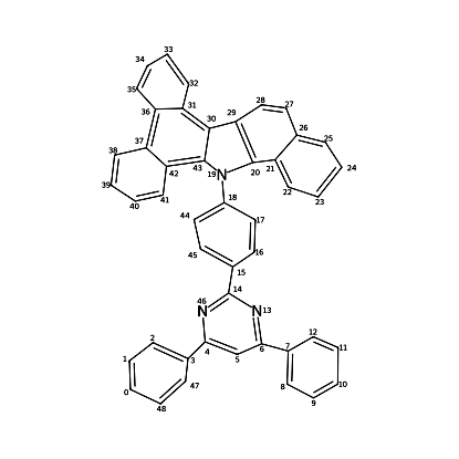 c1ccc(-c2cc(-c3ccccc3)nc(-c3ccc(-n4c5c6ccccc6ccc5c5c6ccccc6c6ccccc6c54)cc3)n2)cc1